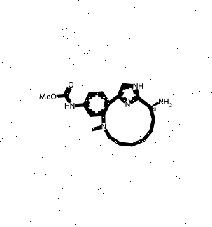 COC(=O)Nc1ccc2c(c1)N(C)CCCCCC[C@H](N)c1nc-2c[nH]1